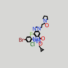 O=C(NOCC1CC1)c1cc2c(ncn2CCC(=O)N2CCCC2)c(F)c1Nc1ccc(Br)cc1Cl